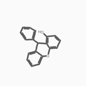 Oc1cccc2c1C(c1ccccc1)c1ccccc1O2